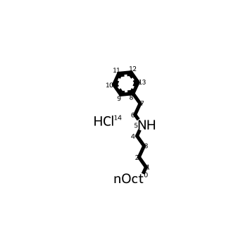 CCCCCCCCCCCCNCCc1ccccc1.Cl